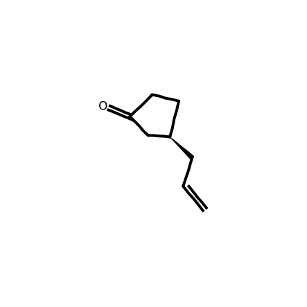 C=CC[C@@H]1CCC(=O)C1